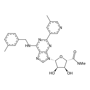 CNC(=O)[C@H]1O[C@@H](n2cnc3c(NCc4cccc(C)c4)nc(-c4cncc(C)c4)nc32)[C@H](O)[C@@H]1O